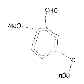 CCCCOc1ccc(OC)c(C=O)c1